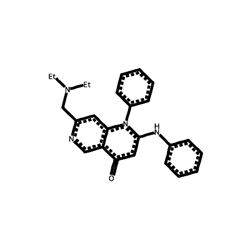 CCN(CC)Cc1cc2c(cn1)c(=O)cc(Nc1ccccc1)n2-c1ccccc1